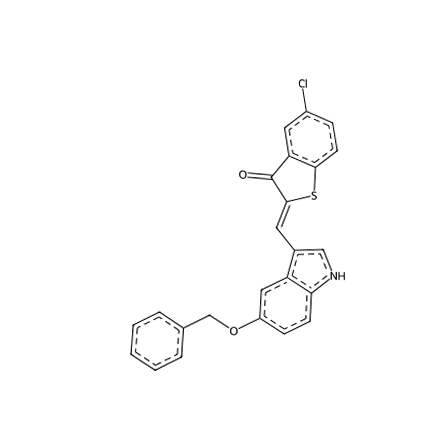 O=C1/C(=C/c2c[nH]c3ccc(OCc4ccccc4)cc23)Sc2ccc(Cl)cc21